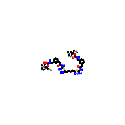 CC(C)(C)OC(=O)NCc1cccc(CC(=O)NC(=N)SC(=N)CCCCC(=N)SC(=N)NC(=O)Cc2cccc(CNC(O)OC(C)(C)C)c2)c1